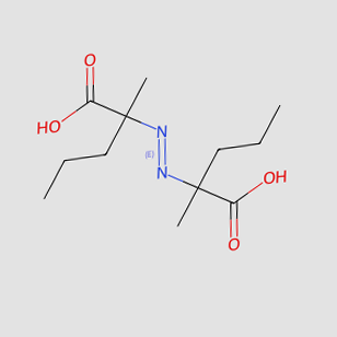 CCCC(C)(/N=N/C(C)(CCC)C(=O)O)C(=O)O